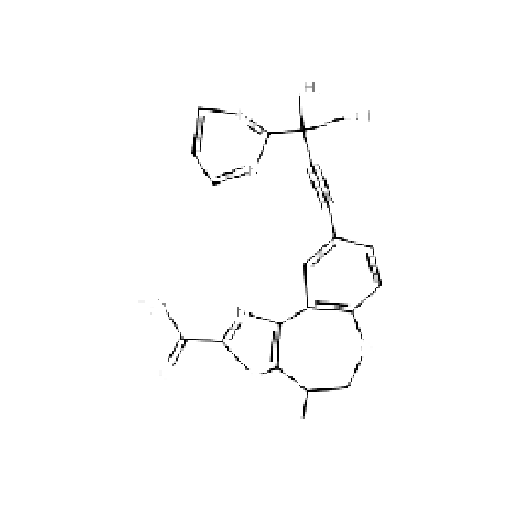 CC1COc2ccc(C#CC(C)(O)c3ncccn3)cc2-c2nc(C(N)=O)sc21